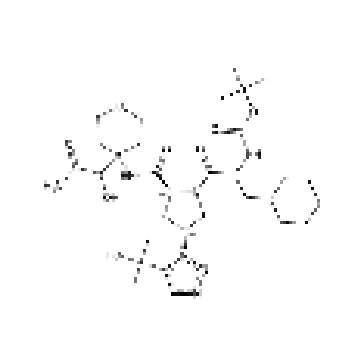 CC(C)(C)OC(=O)NC(CC1CCCCC1)C(=O)N1C[C@@H](n2nncc2C(C)(C)O)C[C@H]1C(=O)NC1(C(O)C(N)=O)CCOCC1